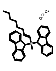 CCCCCCC=C[Si](C)(C1c2ccccc2-c2ccccc21)C1c2ccccc2-c2ccccc21.[Cl-].[Cl-].[Zr+2]